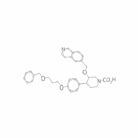 O=C(O)N1CCC(c2ccc(OCCCOCc3ccccc3)cc2)C(OCc2ccc3cnccc3c2)C1